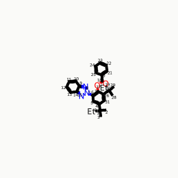 CCC(C)(C)c1cc(-n2nc3ccccc3n2)c(OC(=O)c2ccccc2)c(C(C)(C)CC)c1